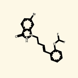 O=c1[nH]n(CCC=Cc2ccccc2OC(F)F)c2cc(Br)ccc12